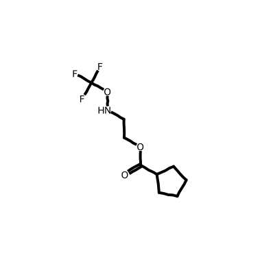 O=C(OCCNOC(F)(F)F)C1CCCC1